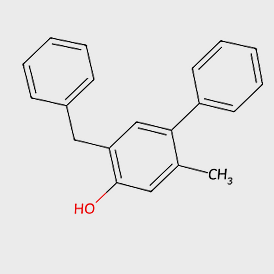 Cc1cc(O)c(Cc2ccccc2)cc1-c1ccccc1